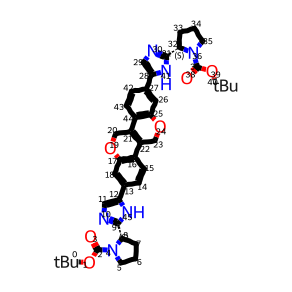 CC(C)(C)OC(=O)N1CCC[C@H]1c1ncc(-c2ccc3c(c2)OCC2=C3COc3cc(-c4cnc([C@@H]5CCCN5C(=O)OC(C)(C)C)[nH]4)ccc32)[nH]1